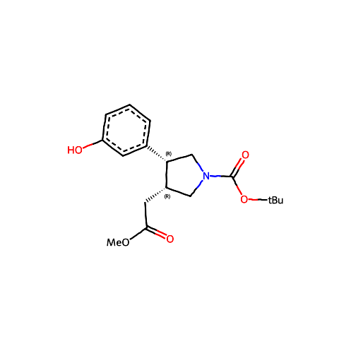 COC(=O)C[C@H]1CN(C(=O)OC(C)(C)C)C[C@H]1c1cccc(O)c1